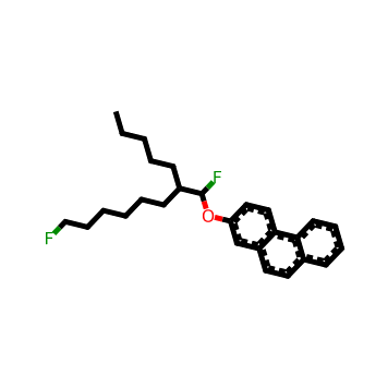 CCCCCC(CCCCCCF)C(F)Oc1ccc2c(ccc3ccccc32)c1